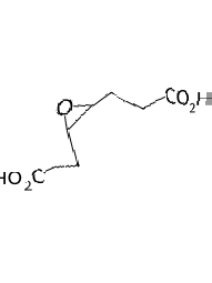 O=C(O)CCC1OC1CC(=O)O